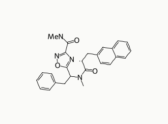 CNC(=O)c1noc(C(Cc2ccccc2)N(C)C(=O)[CH]Cc2ccc3ccccc3c2)n1